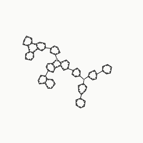 c1ccc(-c2ccc(N(c3ccc(-c4ccccc4)cc3)c3ccc(-c4ccc5c(c4)c4cc(-c6cccc7ccccc67)ccc4n5-c4cccc(-c5ccc6c7ccccc7c7ccccc7c6c5)c4)cc3)cc2)cc1